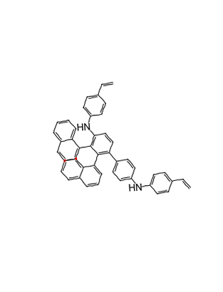 C=Cc1ccc(Nc2ccc(-c3ccc(Nc4ccc(C=C)cc4)c(-c4cccc5ccccc45)c3-c3cccc4ccccc34)cc2)cc1